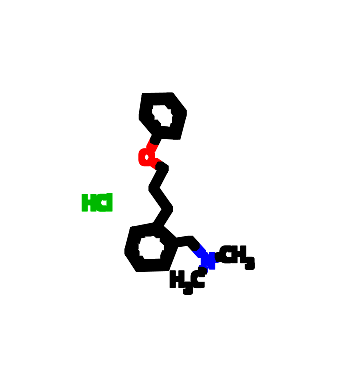 CN(C)Cc1ccccc1CCCOc1ccccc1.Cl